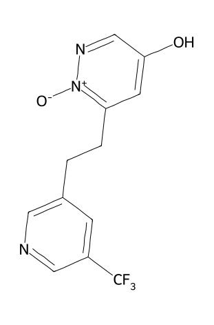 [O-][n+]1ncc(O)cc1CCc1cncc(C(F)(F)F)c1